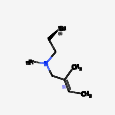 C/C=C(\C)CN(CCC)CC[C@H](C)CC